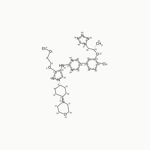 CCOCCOc1nn([C@H]2CC[C@H](N3CCOCC3)CC2)cc1Nc1ncc(-c2ccc(Cl)c(O[C@@H](C)Cn3cnnn3)c2)cn1